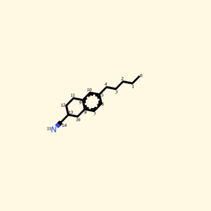 CCCCCc1ccc2c(c1)CCC(C#N)C2